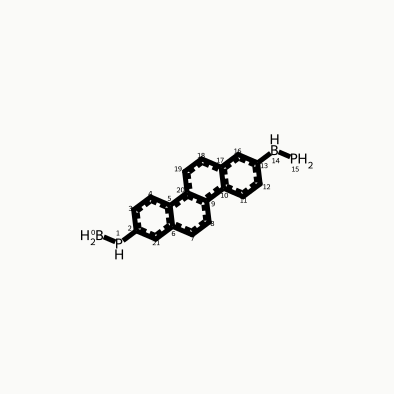 BPc1ccc2c(ccc3c4ccc(BP)cc4ccc23)c1